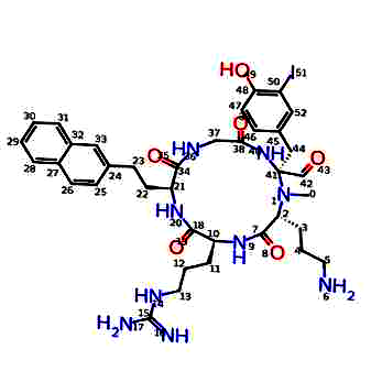 CN1[C@H](CCCN)C(=O)N[C@@H](CCCNC(=N)N)C(=O)N[C@@H](CCc2ccc3ccccc3c2)C(=O)NCC(=O)N[C@]1(C=O)Cc1ccc(O)c(I)c1